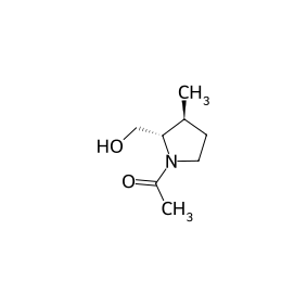 CC(=O)N1CC[C@H](C)[C@H]1CO